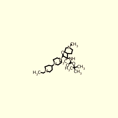 CCN1CCC(N2CCN(C(=O)[C@@](C)(NC(=O)OC(C)(C)C)C3CCN(C)CC3)CC2)CC1